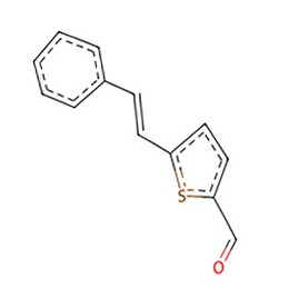 O=Cc1ccc(/C=C/c2ccccc2)s1